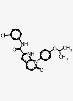 CC(C)Oc1ccc(-n2c(=O)ccc3cc(C(=O)Nc4cccc(Cl)c4)[nH]c32)cc1